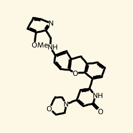 COc1cccnc1CNc1ccc2c(c1)Cc1cccc(-c3cc(N4CCOCC4)cc(=O)[nH]3)c1O2